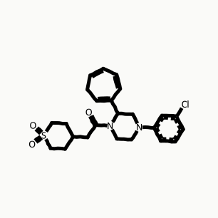 O=C(CC1CCS(=O)(=O)CC1)N1CCN(c2cccc(Cl)c2)CC1C1=CCC=CC=C1